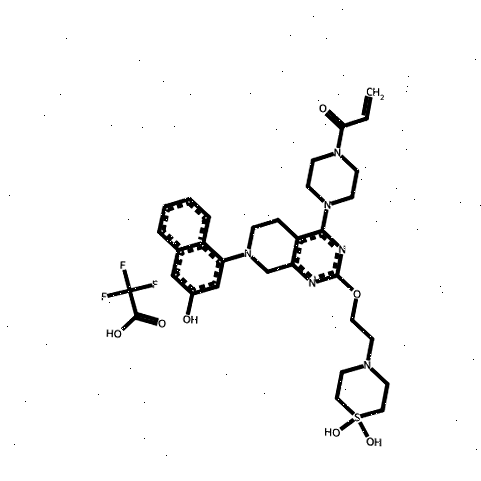 C=CC(=O)N1CCN(c2nc(OCCN3CCS(O)(O)CC3)nc3c2CCN(c2cc(O)cc4ccccc24)C3)CC1.O=C(O)C(F)(F)F